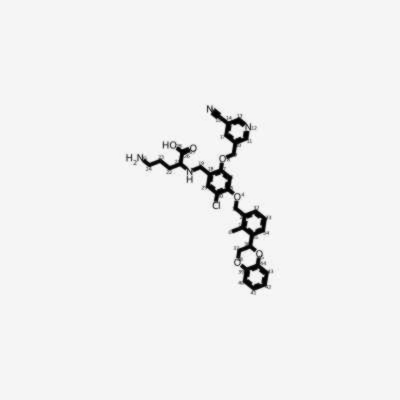 Cc1c(COc2cc(OCc3cncc(C#N)c3)c(CNC(CCCN)C(=O)O)cc2Cl)cccc1C1COc2ccccc2O1